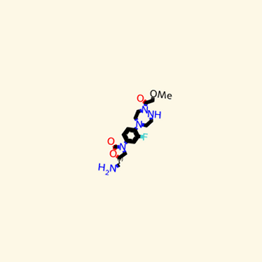 COCC(=O)N1CCN(c2ccc(N3C[C@H](CN)OC3=O)cc2F)CCN1